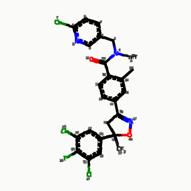 CCCN(Cc1ccc(Cl)nc1)C(=O)c1ccc(C2=NOC(c3cc(Cl)c(F)c(Cl)c3)(C(F)(F)F)C2)cc1C